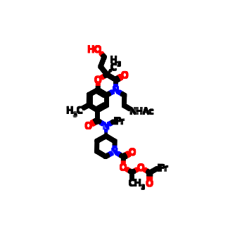 CC(=O)NCCN1C(=O)[C@](C)(CCO)Oc2cc(C)c(C(=O)N(C(C)C)[C@@H]3CCCN(C(=O)OC(C)OC(=O)C(C)C)C3)cc21